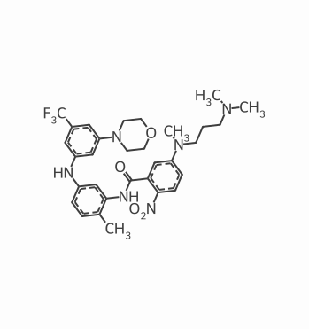 Cc1ccc(Nc2cc(N3CCOCC3)cc(C(F)(F)F)c2)cc1NC(=O)c1cc(N(C)CCCN(C)C)ccc1[N+](=O)[O-]